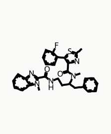 Cc1nc(C(=O)N(C)C(CCNC(=O)c2nc3ccccc3n2C)Cc2ccccc2)c(-c2ccccc2F)s1